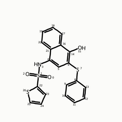 O=S(=O)(Nc1cc(Sc2ccccc2)c(O)c2ccccc12)c1cccs1